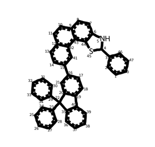 c1ccc(C2Nc3ccc4ccc5ccc(-c6ccc7c(c6)C(c6ccccc6)(c6ccccc6)c6ccccc6-7)cc5c4c3S2)cc1